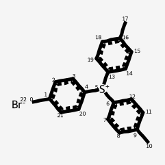 Cc1ccc([S+](c2ccc(C)cc2)c2ccc(C)cc2)cc1.[Br-]